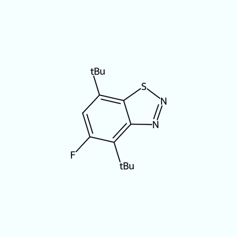 CC(C)(C)c1c(F)cc(C(C)(C)C)c2snnc12